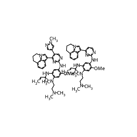 C=CC(=O)Nc1cc(Nc2ncc(-c3cnn(C)c3)c(-c3cn4c5c(cccc35)CCC4)n2)c(OC)cc1N(C)CCN(C)C.C=CC(=O)Nc1cc(Nc2nccc(-c3cn4c5c(cccc35)CCC4)n2)c(OC)cc1N(C)CCN(C)C